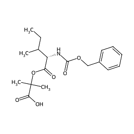 CCC(C)[C@H](NC(=O)OCc1ccccc1)C(=O)OC(C)(C)C(=O)O